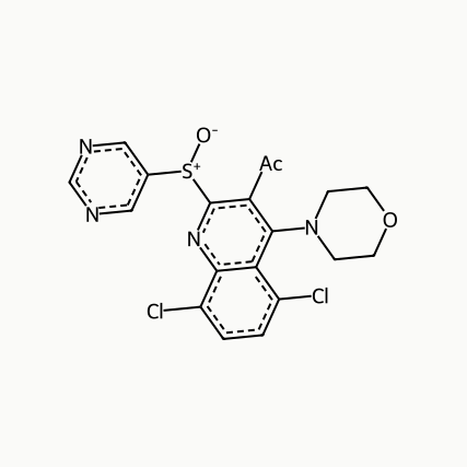 CC(=O)c1c([S+]([O-])c2cncnc2)nc2c(Cl)ccc(Cl)c2c1N1CCOCC1